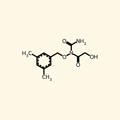 Cc1cc(C)cc(CON(C(N)=O)C(=O)CO)c1